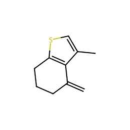 C=C1CCCc2scc(C)c21